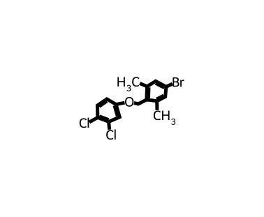 Cc1cc(Br)cc(C)c1COc1ccc(Cl)c(Cl)c1